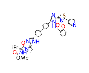 COC(=O)N[C@H](C(=O)N1CCC[C@H]1c1ncc(-c2ccc(-c3ccc(-c4cnc([C@@H]5CSC(c6ccncc6)N5C(=O)OCc5ccccc5)[nH]4)cc3)cc2)[nH]1)C(C)C